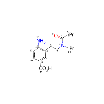 CCCC(=O)N(CCc1cc(C(=O)O)ccc1N)C(C)C